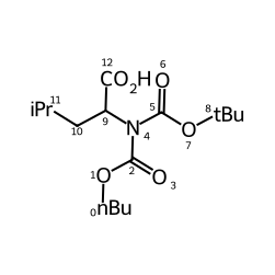 CCCCOC(=O)N(C(=O)OC(C)(C)C)C(CC(C)C)C(=O)O